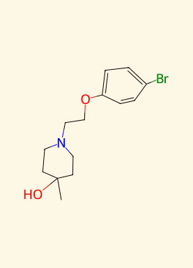 CC1(O)CCN(CCOc2ccc(Br)cc2)CC1